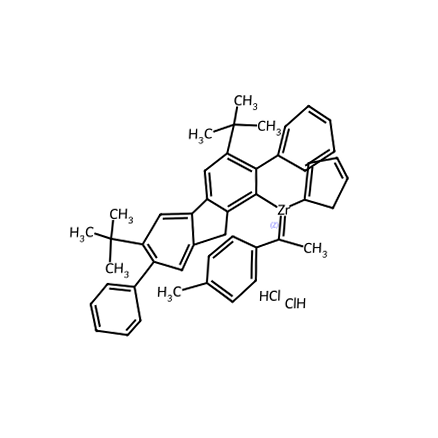 C/[C](c1ccc(C)cc1)=[Zr](\[C]1=CC=CC1)[c]1c2c(cc(C(C)(C)C)c1-c1ccccc1)-c1cc(C(C)(C)C)c(-c3ccccc3)cc1C2.Cl.Cl